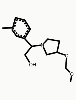 COCOC1CCN(C(CO)c2cccc(C)c2)C1